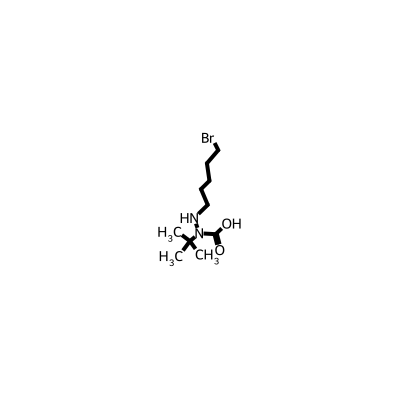 CC(C)(C)N(NCCCCCBr)C(=O)O